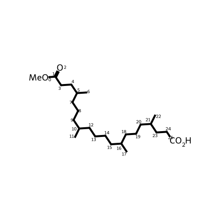 COC(=O)CCC(C)CCCC(C)CCCCC(C)CCCC(C)CCC(=O)O